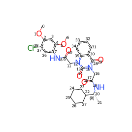 COc1cc(OC)c(NC(=O)Cn2c(=O)n(CC(=O)N[C@H](C)C3CCCCC3)c(=O)c3ccccc32)cc1Cl